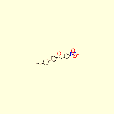 CCCC1CCC(c2ccc(C(=O)Cc3ccc([N+](=O)[O-])cc3)cc2)CC1